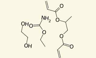 C=CC(=O)OCC(C)OC(=O)C=C.CCOC(N)=O.OCCO